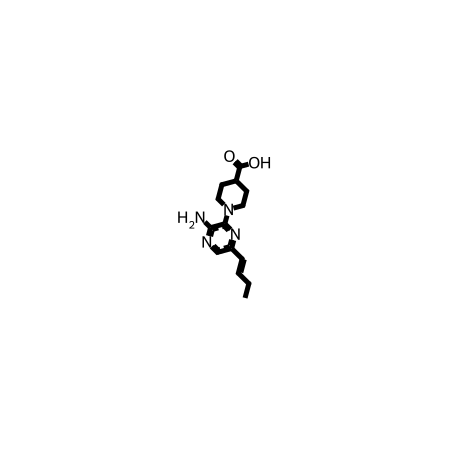 CCC=Cc1cnc(N)c(N2CCC(C(=O)O)CC2)n1